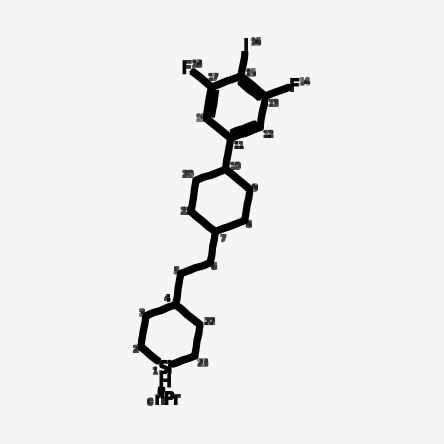 CCC[SiH]1CCC(CCC2CCC(c3cc(F)c(I)c(F)c3)CC2)CC1